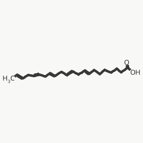 CC=CCC=CCC=CCC=CCC=CCCCCCCC(=O)O